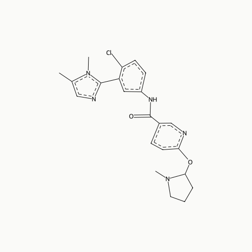 Cc1cnc(-c2cc(NC(=O)c3ccc(OC4CCCN4C)nc3)ccc2Cl)n1C